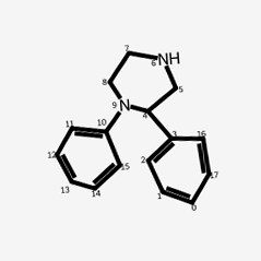 c1ccc(C2CNCCN2c2ccccc2)cc1